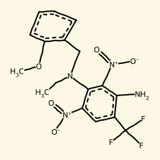 CCN(Cc1ccccc1OC)c1c([N+](=O)[O-])cc(C(F)(F)F)c(N)c1[N+](=O)[O-]